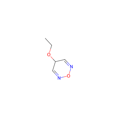 CCOC1C=NON=C1